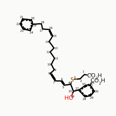 O=C(O)CCSC(/C=C/C=C\CCCCCC/C=C\CCc1ccccc1)C(O)c1cccc(C(=O)O)c1